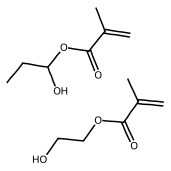 C=C(C)C(=O)OC(O)CC.C=C(C)C(=O)OCCO